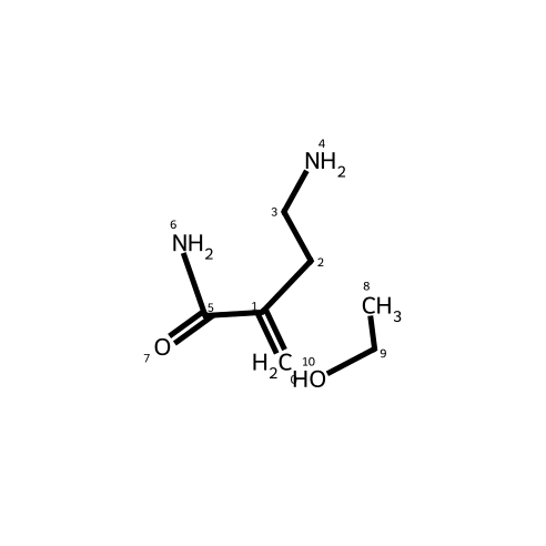 C=C(CCN)C(N)=O.CCO